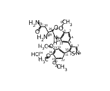 COc1ccc(-c2cnsc2-c2cc(OC)c(OC)c(OC)c2)cc1NC(=O)C(N)CC(N)=O.Cl